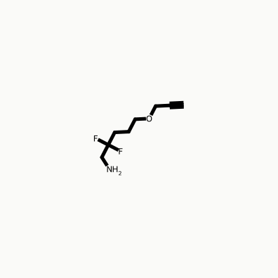 C#CCOCCCC(F)(F)CN